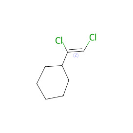 Cl/C=C(\Cl)C1CCCCC1